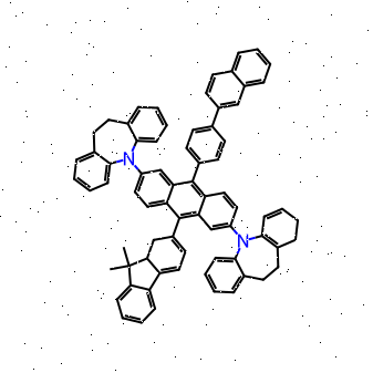 CC1(C)c2ccccc2C2=CC=C(c3c4cc(N5C6=C(CCC=C6)CCc6ccccc65)ccc4c(-c4ccc(-c5ccc6ccccc6c5)cc4)c4cc(N5c6ccccc6CCc6ccccc65)ccc34)CC21